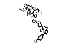 CC(C)C(NC(=O)OC(C)(C)C)C(=O)O[C@@H]1CCN(c2ccc(-n3cnc4ccc(-c5ccc(Cl)cc5)n4c3=O)cn2)C1